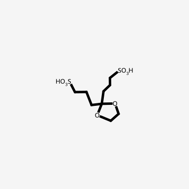 O=S(=O)(O)CCCC1(CCCS(=O)(=O)O)OCCO1